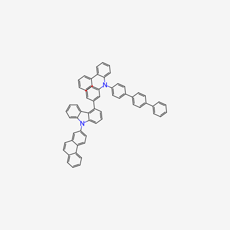 c1ccc(-c2ccc(-c3ccc(N(c4cccc(-c5cccc6c5c5ccccc5n6-c5ccc6c(ccc7ccccc76)c5)c4)c4ccccc4-c4ccccc4)cc3)cc2)cc1